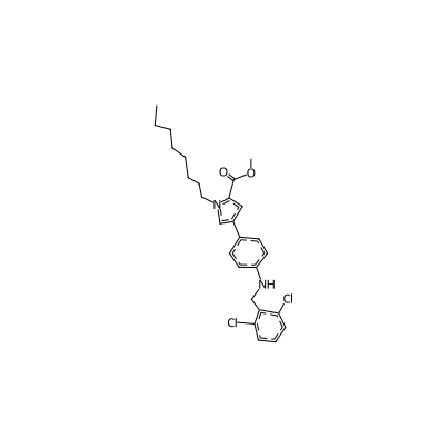 CCCCCCCCn1cc(-c2ccc(NCc3c(Cl)cccc3Cl)cc2)cc1C(=O)OC